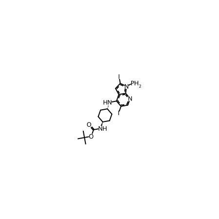 CC(C)(C)OC(=O)N[C@H]1CC[C@H](Nc2c(I)cnc3c2cc(I)n3P)CC1